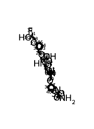 NS(=O)(=O)c1nc2cc(OCc3cn(CC(=O)N[C@@H](COCc4cccc(OCC(O)CF)c4)C(=O)O)nn3)ccc2s1